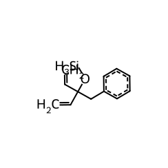 C=CC(C=C)(Cc1ccccc1)O[SiH3]